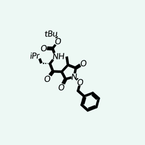 CC(C)C[C@H](NC(=O)OC(C)(C)C)C(=O)C1C(=O)N(OCc2ccccc2)C(=O)C1C